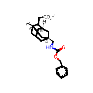 O=C(O)CC1[C@@H]2CC3C[C@H]1C[C@@](CNC(=O)OCc1ccccc1)(C3)C2